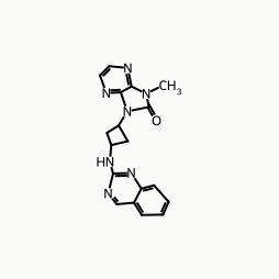 Cn1c(=O)n(C2CC(Nc3ncc4ccccc4n3)C2)c2nccnc21